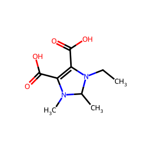 CCN1C(C(=O)O)=C(C(=O)O)N(C)C1C